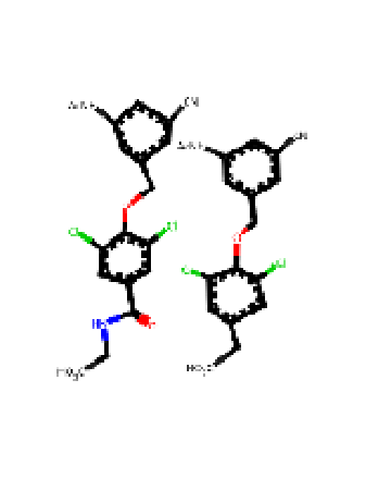 CC(=O)Nc1cc(C#N)cc(COc2c(Cl)cc(C(=O)NCC(=O)O)cc2Cl)c1.CC(=O)Nc1cc(C#N)cc(COc2c(Cl)cc(CC(=O)O)cc2Cl)c1